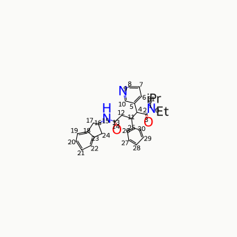 CCN(C(=O)C(c1cccnc1)C(CC(=O)NC1Cc2ccccc2C1)c1ccccc1)C(C)C